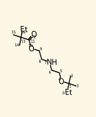 CCC(C)(C)OCCNCCOC(=O)C(C)(C)CC